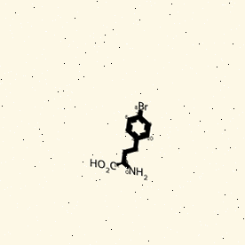 N[C@H](CCc1ccc(Br)cc1)C(=O)O